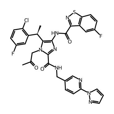 CC(=O)Cn1c(C(=O)NCc2ccc(-n3cccn3)nc2)nc(NC(=O)c2nsc3ccc(F)cc23)c1[C@H](C)c1cc(F)ccc1Cl